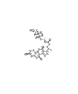 CC(CCC(=O)OCCC(F)(F)C(F)(F)S(=O)(=O)O)C1CCC2C1C(=O)CC1C3CCC(=O)CC3CC(=O)C12